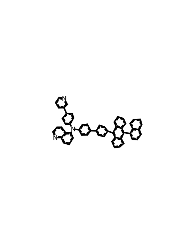 c1cncc(-c2ccc(N(c3ccc(-c4ccc(-c5c6ccccc6c(-c6cccc7ccccc67)c6ccccc56)cc4)cc3)c3cccc4ncccc34)cc2)c1